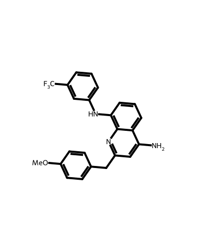 COc1ccc(Cc2cc(N)c3cccc(Nc4cccc(C(F)(F)F)c4)c3n2)cc1